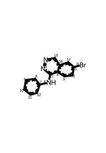 Brc1ccc2c(Nc3ccccc3)nncc2c1